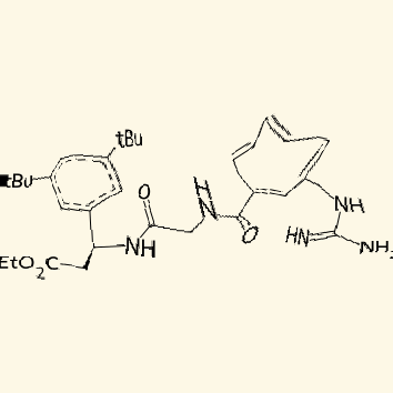 CCOC(=O)C[C@H](NC(=O)CNC(=O)C1=C/C(NC(=N)N)=C\C=C\C=C\1)c1cc(C(C)(C)C)cc(C(C)(C)C)c1